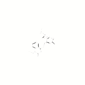 CCCC(C)CC(CNc1nc(=O)[nH]cc1C(=O)OCC)c1ccccc1